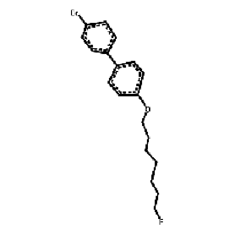 FCCCCCCCOc1ccc(-c2ccc(Br)cc2)cc1